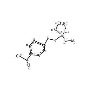 CCO[Si](CCc1ccc(C(Cl)Cl)cc1)(OCC)OCC